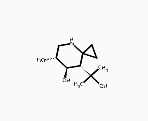 CC(C)(O)[C@@H]1[C@@H](O)[C@H](O)CNC12CC2